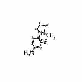 Nc1ccc(N2CCCC2C(F)(F)F)c(F)c1